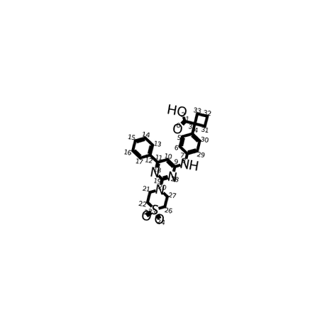 O=C(O)C1(c2ccc(Nc3cc(-c4ccccc4)nc(N4CCS(=O)(=O)CC4)n3)cc2)CCC1